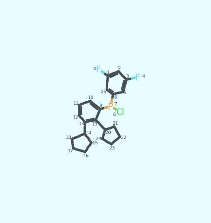 Fc1cc(F)cc(P(Cl)c2cccc(C3CCCC3)c2C2CCCC2)c1